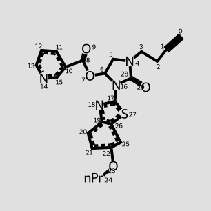 C#CCCN1CC(OC(=O)c2cccnc2)N(c2nc3ccc(OCCC)cc3s2)C1=O